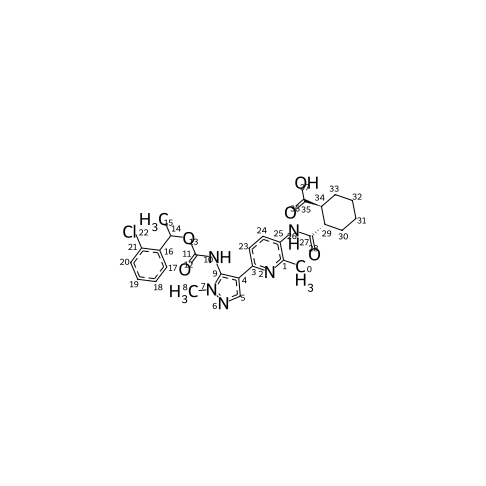 Cc1nc(-c2cnn(C)c2NC(=O)OC(C)c2ccccc2Cl)ccc1NC(=O)[C@H]1CCCC[C@@H]1C(=O)O